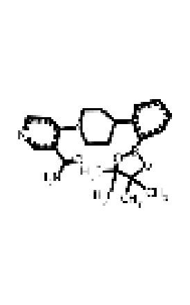 CC1(C)OB(c2ccccc2C2CCN(c3ccncc3C(N)=O)CC2)OC1(C)C